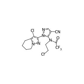 N#Cc1cnn(-c2nn3c(c2Cl)CCCC3)c1N(CCCl)C(=O)C(F)(F)F